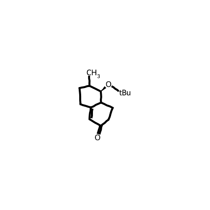 CC1CCC2=CC(=O)CCC2[C@@H]1OC(C)(C)C